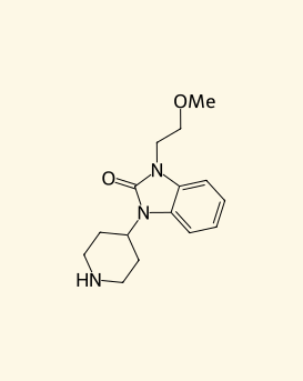 COCCn1c(=O)n(C2CCNCC2)c2ccccc21